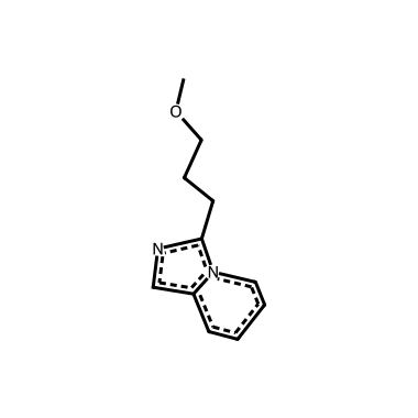 COCCCc1ncc2ccccn12